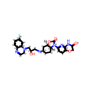 O=C1COc2ccc(N3C(=O)O[C@@H]4C[C@H](NC[C@@H](O)CN5CC=Nc6ccc(F)cc65)CC[C@H]43)nc2N1